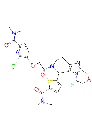 CN(C)C(=O)c1ccc(OCC(=O)N2CCc3nc4n(c3C2c2sc(C(=O)N(C)C)cc2F)CCOC4)c(Cl)n1